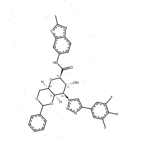 Cc1nc2ccc(NC(=O)[C@@H]3O[C@@H]4COC(c5ccccc5)O[C@@H]4[C@H](n4cc(-c5cc(F)c(F)c(F)c5)nn4)[C@H]3O)cc2s1